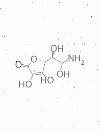 NC(O)[C@H](O)[C@H]1OC(=O)C(O)=C1O